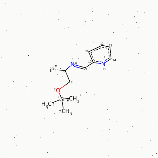 CC(C)C(CO[Si](C)(C)C)N=Cc1ccccn1